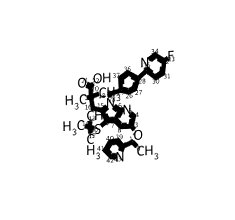 CC(Oc1cnc2c(c1)c(SC(C)(C)C)c(CC(C)(C)C(=O)O)n2Cc1ccc(-c2ccc(F)cn2)cc1)c1ccccn1